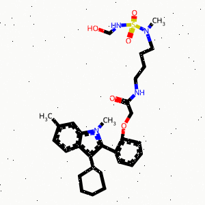 Cc1ccc2c(C3CCCCC3)c(-c3ccccc3OCC(=O)NCCCCN(C)S(=O)(=O)NCO)n(C)c2c1